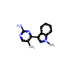 Cc1cnc(N)nc1-c1cn(C)c2ccccc12